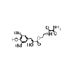 CC(C)(C)c1cc(C=C(O)C(=O)OCCNC(=O)C(N)=O)cc(C(C)(C)C)c1O